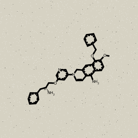 COc1ccc2c(N)c3c(cc2c1OCc1ccccc1)CN(c1cncc(OC[C@H](N)Cc2ccccc2)c1)C=C3